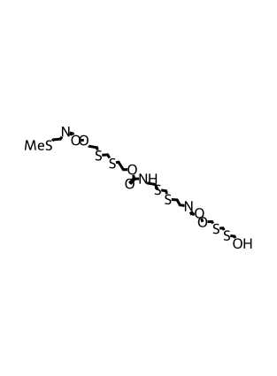 CSCC/N=C\OOCCSCSCCOC(=O)NCCSCSCC/N=C/OOCSCSCO